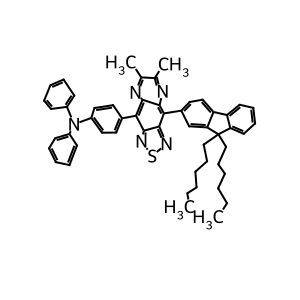 CCCCCCC1(CCCCCC)c2ccccc2-c2ccc(-c3c4nsnc4c(-c4ccc(N(c5ccccc5)c5ccccc5)cc4)c4nc(C)c(C)nc34)cc21